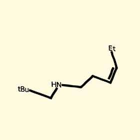 CC/C=C\CCNCC(C)(C)C